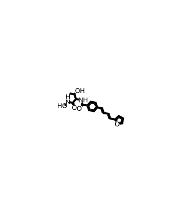 CC(O)C(NC(=O)c1ccc(/C=C/C=C/c2ccco2)cc1)C(=O)NO